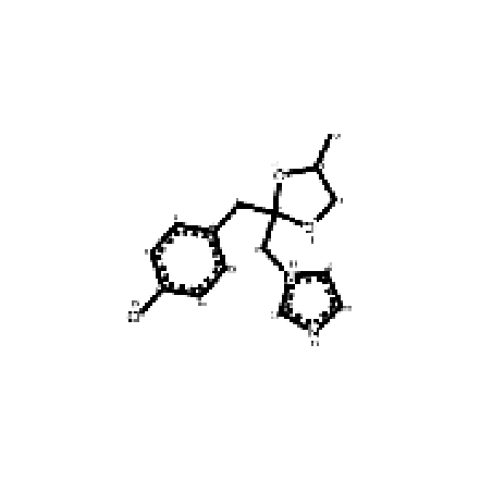 CC1COC(Cc2ccc(Cl)cc2)(Cn2ccnc2)O1